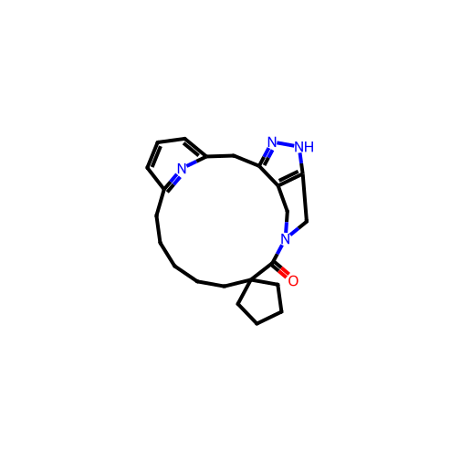 O=C1N2Cc3[nH]nc(c3C2)Cc2cccc(n2)CCCCCC12CCCC2